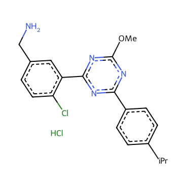 COc1nc(-c2ccc(C(C)C)cc2)nc(-c2cc(CN)ccc2Cl)n1.Cl